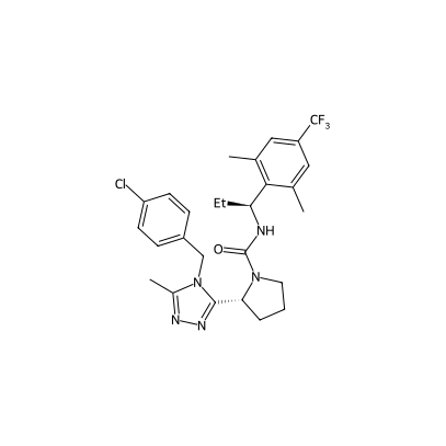 CC[C@H](NC(=O)N1CCC[C@@H]1c1nnc(C)n1Cc1ccc(Cl)cc1)c1c(C)cc(C(F)(F)F)cc1C